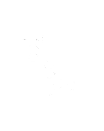 COc1cc2nccc(Oc3ccc(NC(=O)c4cn(C(C)C)c(C)c(-c5ccc(F)cc5)c4=O)cc3F)c2nc1NS(C)(=O)=O